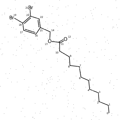 CCCCCCCCCCCC(=O)OCc1ccc(Br)c(Br)c1